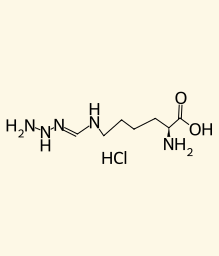 Cl.NNN=CNCCCC[C@H](N)C(=O)O